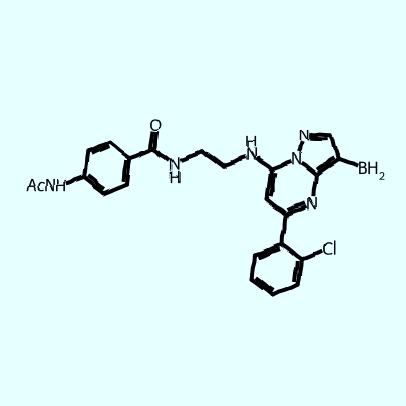 Bc1cnn2c(NCCNC(=O)c3ccc(NC(C)=O)cc3)cc(-c3ccccc3Cl)nc12